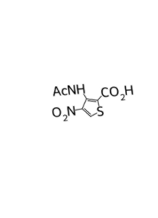 CC(=O)Nc1c([N+](=O)[O-])csc1C(=O)O